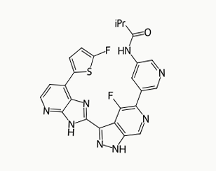 CC(C)C(=O)Nc1cncc(-c2ncc3[nH]nc(-c4nc5c(-c6ccc(F)s6)ccnc5[nH]4)c3c2F)c1